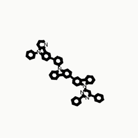 c1ccc(-c2cc(-n3c4ccccc4c4cc(-c5ccc6c(c5)c5ccccc5n6-c5cccc(-c6ccc7c(c6)c6ncccc6n7-c6ccccc6)c5)ccc43)nc(-c3ccccc3)n2)cc1